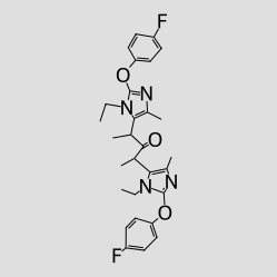 CCn1c(Oc2ccc(F)cc2)nc(C)c1C(C)C(=O)C(C)c1c(C)nc(Oc2ccc(F)cc2)n1CC